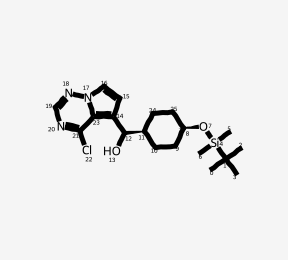 CC(C)(C)[Si](C)(C)O[C@H]1CC[C@@H](C(O)c2ccn3ncnc(Cl)c23)CC1